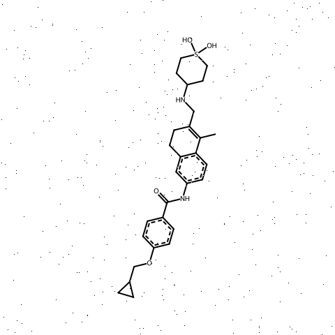 CC1=C(CNC2CCS(O)(O)CC2)CCc2cc(NC(=O)c3ccc(OCC4CC4)cc3)ccc21